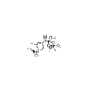 COP(=S)(OC)OP(O)(O)=[SH]c1ccc([N+](=O)[O-])c(C)c1